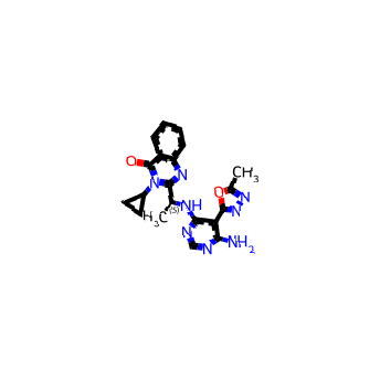 Cc1nnc(-c2c(N)ncnc2N[C@@H](C)c2nc3ccccc3c(=O)n2C2CC2)o1